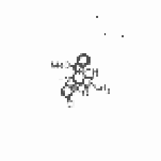 COc1c2n(c3ccccc13)[C@@]1(O)C(=O)N(C)C(=O)[C@@]1(O)C1=C2NC2C=CC(Cl)=CC12